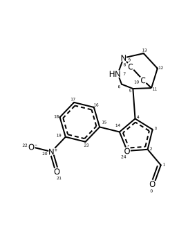 O=Cc1cc(C2CNN3CCC2CC3)c(-c2cccc([N+](=O)[O-])c2)o1